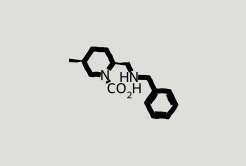 C[C@H]1CC[C@@H](CNCc2ccccc2)N(C(=O)O)C1